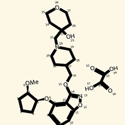 CO[C@@H]1CCC[C@@H]1Oc1cccc2onc(OCC3CCN(CC4(O)CCOCC4)CC3)c12.O=C(O)C(=O)O